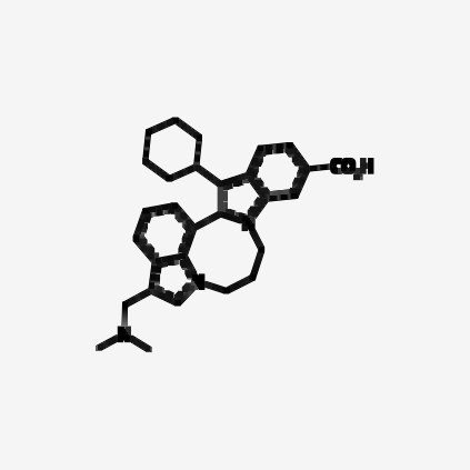 CN(C)Cc1cn2c3c(cccc13)-c1c(C3CCCCC3)c3ccc(C(=O)O)cc3n1CCC2